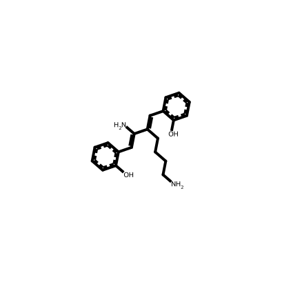 NCCCCC(=Cc1ccccc1O)C(N)=Cc1ccccc1O